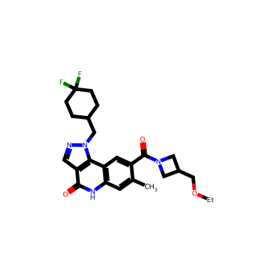 CCOCC1CN(C(=O)c2cc3c(cc2C)[nH]c(=O)c2cnn(CC4CCC(F)(F)CC4)c23)C1